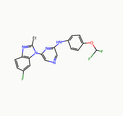 CCc1nc2ccc(F)cc2n1-c1cncc(Nc2ccc(OC(F)F)cc2)n1